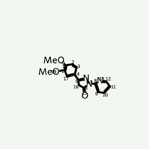 COc1ccc(C2=NN(c3ccccn3)C(=O)C2)cc1OC